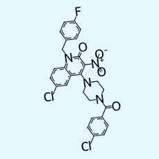 O=C(c1ccc(Cl)cc1)N1CCN(c2c([N+](=O)[O-])c(=O)n(Cc3ccc(F)cc3)c3ccc(Cl)cc23)CC1